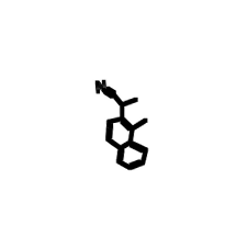 Cc1c(C(C)C#N)ccc2ccccc12